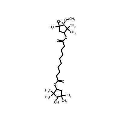 CON1C(C)(C)CC(OC(=O)CCCCCCCCC(=O)OC2CC(C)(C)N(O)C2(C)C)C1(C)C